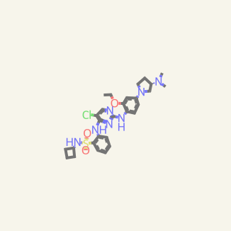 CCOc1cc(N2CC[C@H](N(C)C)C2)ccc1Nc1ncc(Cl)c(Nc2ccccc2S(=O)(=O)NC2CCC2)n1